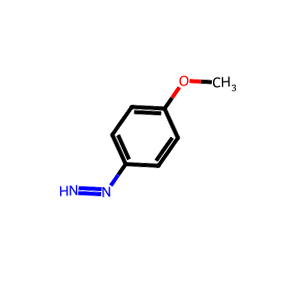 COc1ccc(N=N)cc1